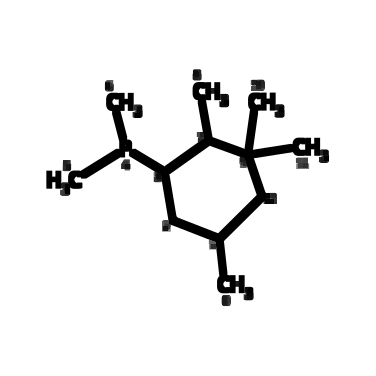 CC1CC(P(C)C)C(C)C(C)(C)C1